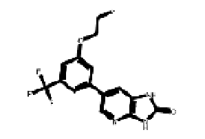 O=c1[nH]c2cc(-c3cc(OCCF)cc(C(F)(F)F)c3)cnc2[nH]1